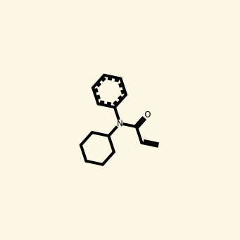 C=CC(=O)N(c1ccccc1)C1CCCCC1